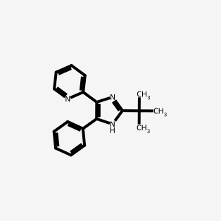 CC(C)(C)c1nc(-c2ccccn2)c(-c2ccccc2)[nH]1